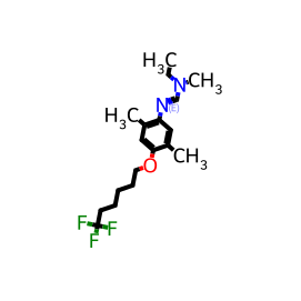 CCN(C)/C=N/c1cc(C)c(OCCCCCC(F)(F)F)cc1C